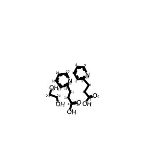 O=C(O)CCc1ccccn1.O=C(O)CCc1ccccn1.OCCO